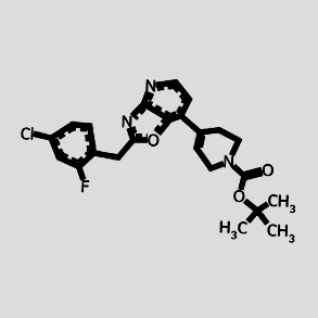 CC(C)(C)OC(=O)N1CC=C(c2ccnc3nc(Cc4ccc(Cl)cc4F)oc23)CC1